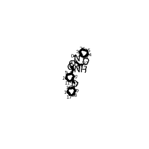 CN1C(=O)[C@@H](NC(=O)c2cccc(Oc3ccccc3)c2)COc2ccccc21